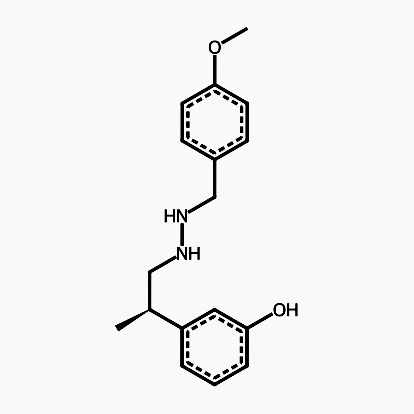 COc1ccc(CNNC[C@H](C)c2cccc(O)c2)cc1